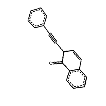 O=C1c2ccccc2C=CC1C#Cc1ccccc1